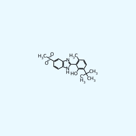 Cc1ccc(C(C)(C)C)c(O)c1-c1nc2cc(S(C)(=O)=O)ccc2[nH]1